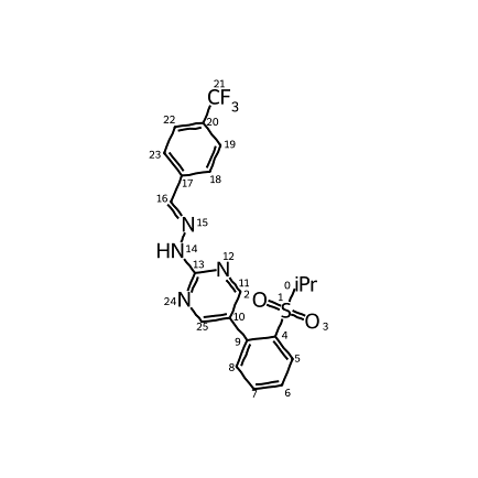 CC(C)S(=O)(=O)c1ccccc1-c1cnc(NN=Cc2ccc(C(F)(F)F)cc2)nc1